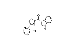 O=C(c1nc(-c2nccnc2O)cs1)c1c[nH]c2ccccc12